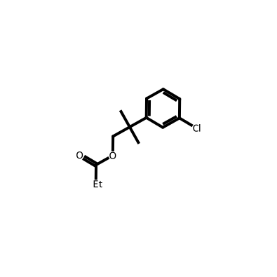 CCC(=O)OCC(C)(C)c1cccc(Cl)c1